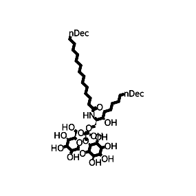 CCCCCCCCCCCCCCCCCCCCCCCC(=O)N[C@@H](COP(=O)(O)O[C@H]1C(O)C(O)C(O)[C@@H](O)C1O[C@H]1O[C@H](CO)[C@@H](O)C(O)C1O)[C@H](O)CCCCCCCCCCCCCCC